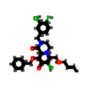 C/C=C/COCc1c(Br)c(=O)c(OCc2ccccc2)c2n1CCN(Cc1ccc(F)c(Cl)c1)C2=O